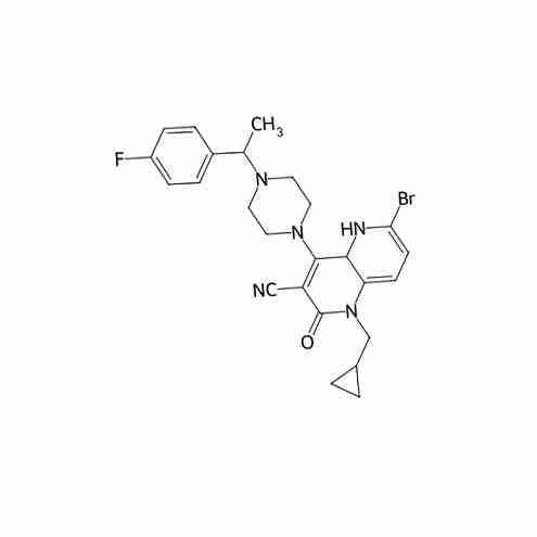 CC(c1ccc(F)cc1)N1CCN(C2=C(C#N)C(=O)N(CC3CC3)C3=CC=C(Br)NC32)CC1